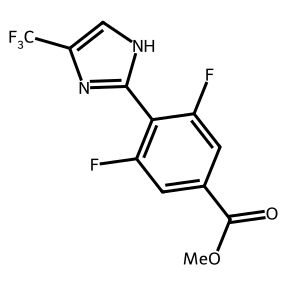 COC(=O)c1cc(F)c(-c2nc(C(F)(F)F)c[nH]2)c(F)c1